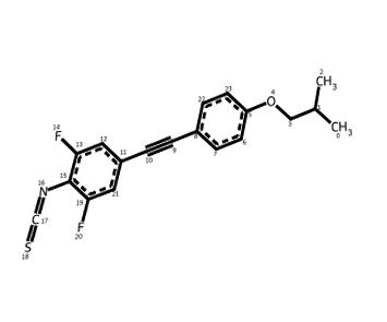 CC(C)COc1ccc(C#Cc2cc(F)c(N=C=S)c(F)c2)cc1